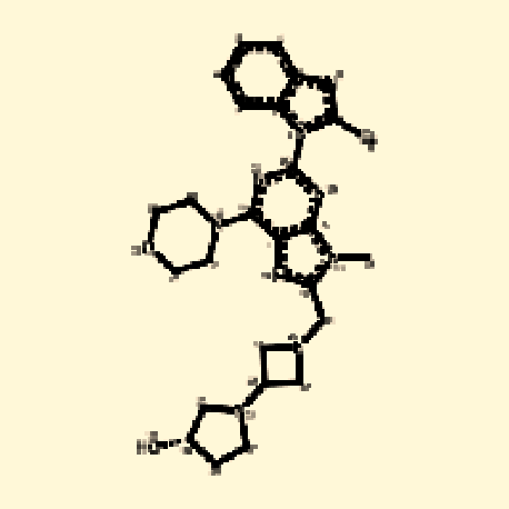 CCc1nc2ccccc2n1-c1nc(N2CCOCC2)c2nc(CN3CC(N4CC[C@H](O)C4)C3)n(C)c2n1